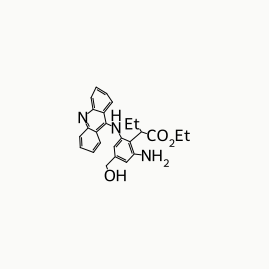 CCOC(=O)C(CC)c1c(N)cc(CO)cc1Nc1c2ccccc2nc2ccccc12